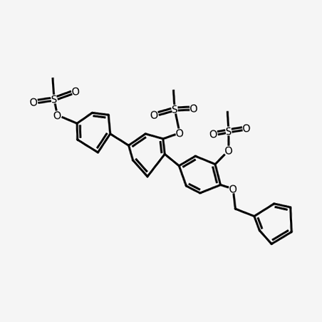 CS(=O)(=O)Oc1ccc(-c2ccc(-c3ccc(OCc4ccccc4)c(OS(C)(=O)=O)c3)c(OS(C)(=O)=O)c2)cc1